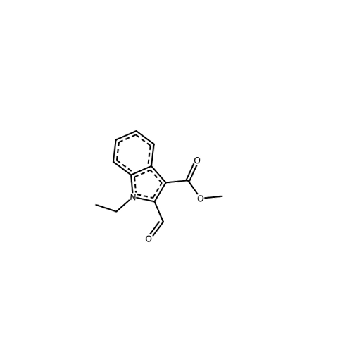 CCn1c(C=O)c(C(=O)OC)c2ccccc21